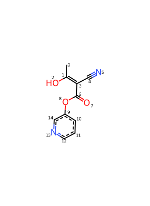 CC(O)=C(C#N)C(=O)Oc1cccnc1